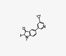 CN1c2ccc(-c3cncc(C4CC4)c3)cc2C(=O)C1I